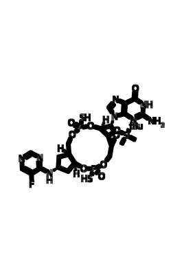 CC(C)(C)[Si](C)(C)OC1C2COP(=O)(S)O[C@H]3C[C@H](Nc4ncncc4F)C[C@@H]3COP(=O)(S)O[C@H]1[C@H](n1cnc3c(=O)[nH]c(N)nc31)O2